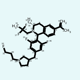 C=C(C)c1ccc2c(c1)C[C@@H](C)N(CC(C)(F)F)C2c1c(F)cc(CC2CCN(CCCF)C2)cc1F